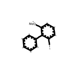 COc1cccc(I)c1-c1ccccc1